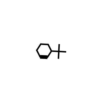 CC(C)(C)C1C#CCCC1